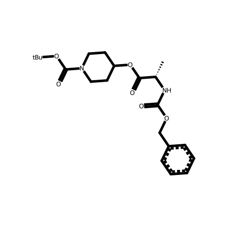 C[C@H](NC(=O)OCc1ccccc1)C(=O)OC1CCN(C(=O)OC(C)(C)C)CC1